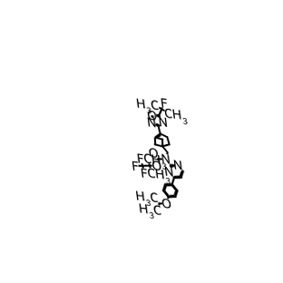 CC(C)Oc1ccc(-c2ccnc(N(CC34CCC(c5noc(C(C)(C)F)n5)=C(C3)C4)C(=O)OC(C)(C)C(F)(F)F)n2)cc1